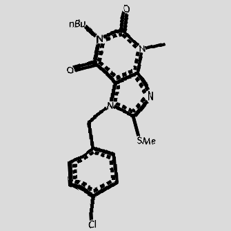 CCCCn1c(=O)c2c(nc(SC)n2Cc2ccc(Cl)cc2)n(C)c1=O